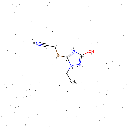 CCn1nc(O)nc1SCC#N